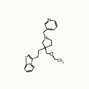 CCOCC1(CCc2csc3ccccc23)CCN(Cc2cccnc2)C1